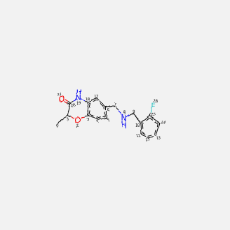 CC1Oc2ccc(CNCc3ccccc3F)cc2NC1=O